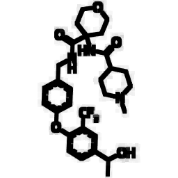 CC(O)c1ccc(Oc2ccc(CNC(=O)C3(NC(=O)C4CCN(C)CC4)CCOCC3)cc2)c(C(F)(F)F)c1